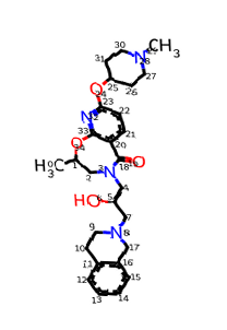 CC1CN(C[C@H](O)CN2CCc3ccccc3C2)C(=O)c2ccc(OC3CCN(C)CC3)nc2O1